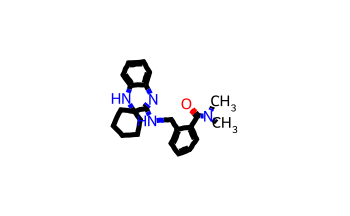 CN(C)C(=O)c1ccccc1CNC1=Nc2ccccc2NC12CCCCC2